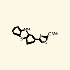 COc1nc(-c2ccc3c(c2)Nc2ccccc2S3)cs1